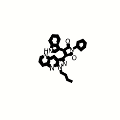 CCCCn1nc(C2=C(c3c[nH]c4ccccc34)C(=O)N(c3ccccc3)C2=O)c2cc3ncccc3nc21